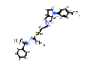 C/C(=N\N=C(/C)C1CCCCC1)SCCCN1CC2CCN(c3ccc(C(F)(F)F)cc3)C2C1